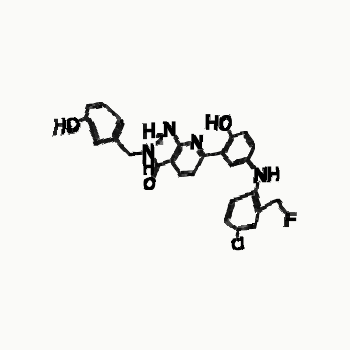 Nc1nc(-c2cc(Nc3ccc(Cl)cc3CF)ccc2O)ccc1C(=O)NCc1cccc(O)c1